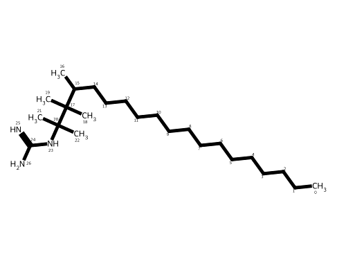 CCCCCCCCCCCCCCCC(C)C(C)(C)C(C)(C)NC(=N)N